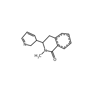 CN1C(=O)c2ccccc2CC1C1C=CC=NC1